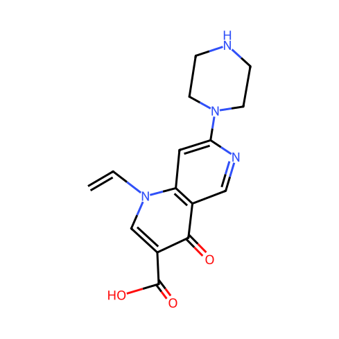 C=Cn1cc(C(=O)O)c(=O)c2cnc(N3CCNCC3)cc21